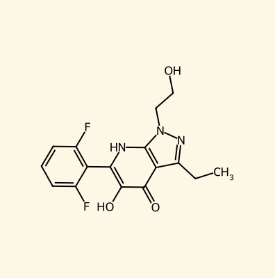 CCc1nn(CCO)c2[nH]c(-c3c(F)cccc3F)c(O)c(=O)c12